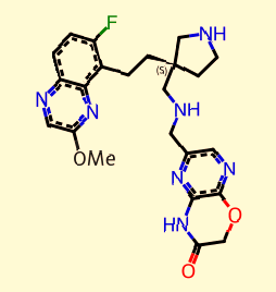 COc1cnc2ccc(F)c(CC[C@]3(CNCc4cnc5c(n4)NC(=O)CO5)CCNC3)c2n1